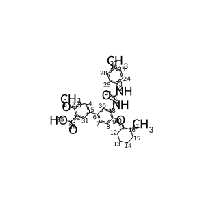 COc1ccc(-c2ccc(O[C@@H]3CCCC[C@H]3C)c(NC(=O)Nc3ccc(C)cc3)c2)cc1C(=O)O